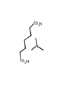 CN(C)C.O=C(O)CCCCCC(=O)O